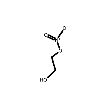 O=[N+]([O-])OCCO